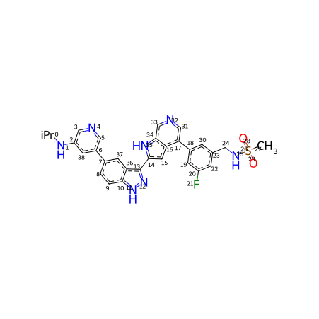 CC(C)Nc1cncc(-c2ccc3[nH]nc(-c4cc5c(-c6cc(F)cc(CNS(C)(=O)=O)c6)cncc5[nH]4)c3c2)c1